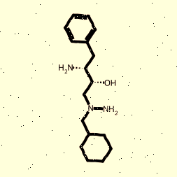 N[C@H](Cc1ccccc1)[C@H](O)CN(N)CC1CCCCC1